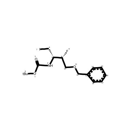 CC(C)(C)OC(=O)N[C@H](CI)[C@H](F)COCc1ccccc1